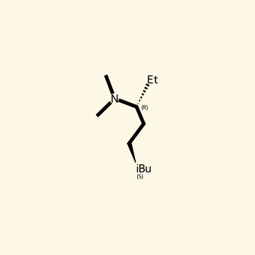 CC[C@H](C)CC[C@@H](CC)N(C)C